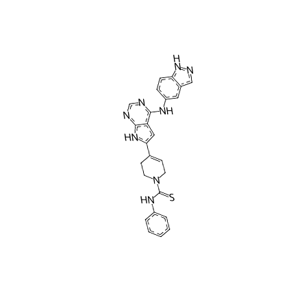 S=C(Nc1ccccc1)N1CC=C(c2cc3c(Nc4ccc5[nH]ncc5c4)ncnc3[nH]2)CC1